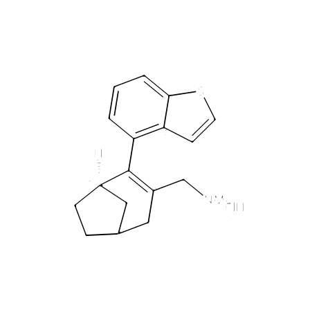 CNCC1=C(c2cccc3sccc23)[C@@H]2CCC(C1)C2.Cl